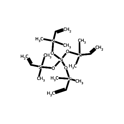 C=C[Si](C)(C)O[Si](O[Si](C)(C)C=C)(O[Si](C)(C)C=C)O[Si](C)(C)C=C